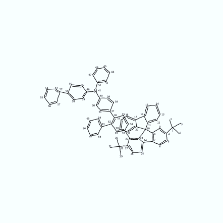 CC(C)(C)c1ccc2c(c1)C1(c3ccccc3-c3ccccc31)c1c-2ccc(C(C)(C)C)c1-c1ccc(-c2ccc(N(c3ccccc3)c3ccc(-c4ccccc4)cc3)cc2)c(-c2ccccc2)c1